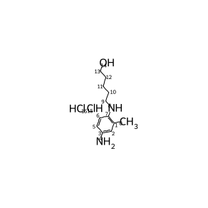 Cc1cc(N)ccc1NCCCCCO.Cl.Cl